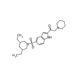 CCC1CC(CC)CN(S(=O)(=O)c2ccc3[nH]c(C(=O)CN4CCCCC4)cc3c2)C1